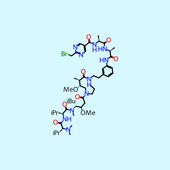 CC[C@H](C)[C@@H]([C@@H](CC(=O)N1CCC[C@H]1[C@H](OC)[C@@H](C)C(=O)NCCc1cccc(NC(=O)[C@H](C)NC(=O)[C@H](C)NC(=O)c2cnc(CBr)nc2)c1)OC)N(C)C(=O)[C@@H](NC(=O)[C@H](C(C)C)N(C)C)C(C)C